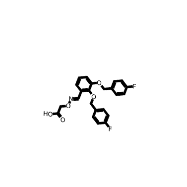 O=C(O)CON=Cc1cccc(OCc2ccc(F)cc2)c1OCc1ccc(F)cc1